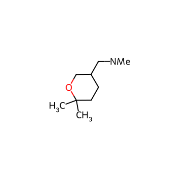 CNCC1CCC(C)(C)OC1